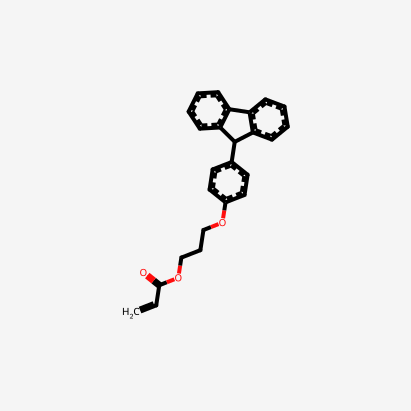 C=CC(=O)OCCCOc1ccc(C2c3ccccc3-c3ccccc32)cc1